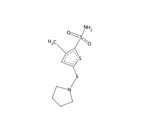 Cc1cc(SN2CCCC2)sc1S(N)(=O)=O